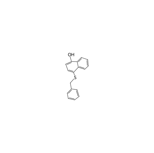 Oc1ccc(SCc2ccccc2)c2ccccc12